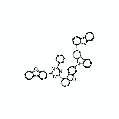 c1ccc(-c2nc(-c3ccc4c(c3)oc3ccccc34)nc(-c3cccc4oc5cc(-n6c7ccccc7c7cc(-c8cccc9c8sc8ccccc89)ccc76)ccc5c34)n2)cc1